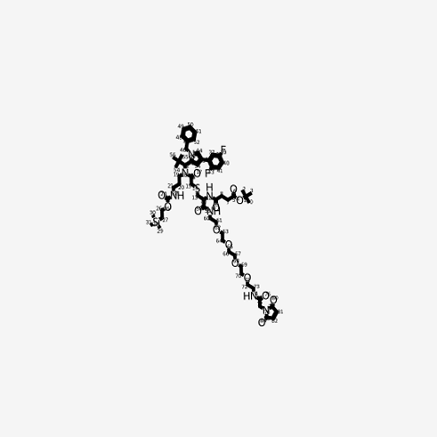 CC(C)(C)OC(=O)CCC(=O)NC(CSCC(=O)N(CCCNC(=O)OCC[Si](C)(C)C)C(c1cc(-c2cc(F)ccc2F)cn1Cc1ccccc1)C(C)(C)C)C(=O)NCCOCCOCCOCCOCCNC(=O)CN1C(=O)C=CC1=O